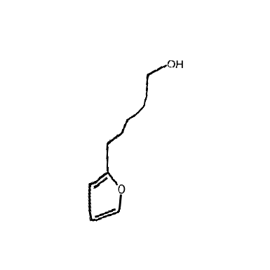 OCCCCCc1ccco1